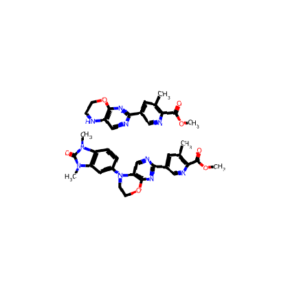 COC(=O)c1ncc(-c2ncc3c(n2)OCCN3)cc1C.COC(=O)c1ncc(-c2ncc3c(n2)OCCN3c2ccc3c(c2)n(C)c(=O)n3C)cc1C